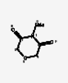 CSN1C(=O)COCC1=O